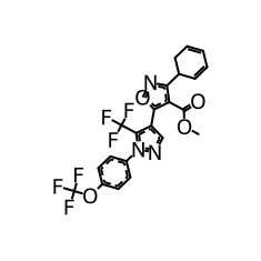 COC(=O)c1c(C2C=CC=CC2)noc1-c1cnn(-c2ccc(OC(F)(F)F)cc2)c1C(F)(F)F